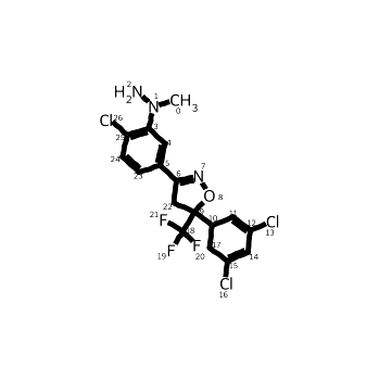 CN(N)c1cc(C2=NOC(C3C=C(Cl)C=C(Cl)C3)(C(F)(F)F)C2)ccc1Cl